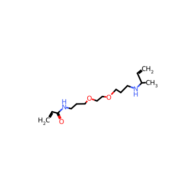 C=CC(=O)NCCCOCCOCCCNC(C)C=C